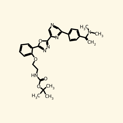 C=C(c1ccc(-c2cncc(-c3nnc(-c4ccccc4OCCNC(=O)OC(C)(C)C)o3)n2)cc1)N(C)C